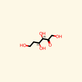 O=C(CO)[C@H](O)[C@@H](O)CCO